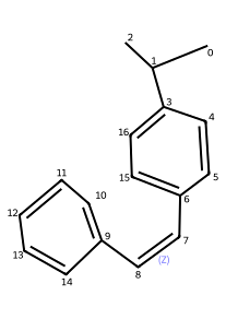 CC(C)c1ccc(/C=C\c2ccccc2)cc1